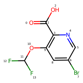 O=C(O)c1ncc(Br)cc1OC(F)F